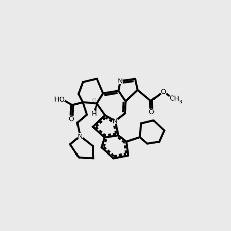 COC(=O)C1C=NC2=C3CCCC(CCN4CCCC4)(C(=O)O)[C@H]3c3cc4cccc(C5CCCCC5)c4n3C=C21